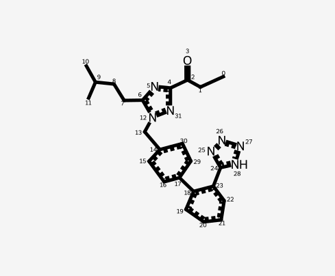 CCC(=O)c1nc(CCC(C)C)n(Cc2ccc(-c3ccccc3-c3nnn[nH]3)cc2)n1